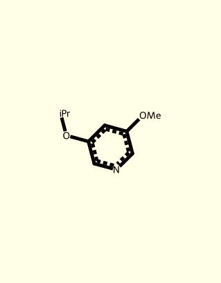 COc1cncc(OC(C)C)c1